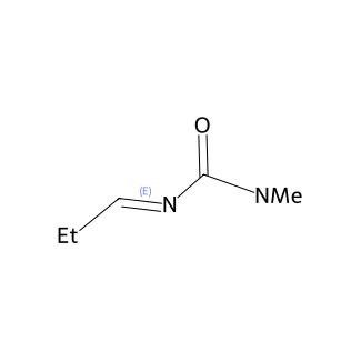 CC/C=N/C(=O)NC